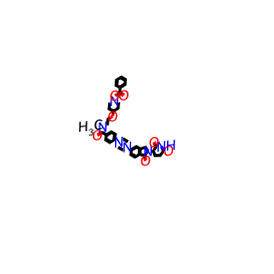 CN(CCOC1CCN(OC(=O)c2ccccc2)CC1)C(=O)c1ccc(N2CCN(c3ccc4c(c3)CN([C@@H]3CCC(=O)NC3=O)C4=O)CC2)cc1